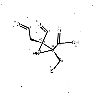 O=CC[C@]1(C=O)N[C@@]1(CS)C(=O)O